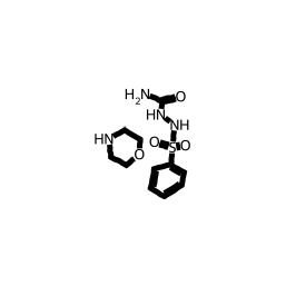 NC(=O)NNS(=O)(=O)c1ccccc1.[CH]1COCCN1